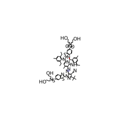 CCc1cc(C)cc(CC)c1Nc1nc(N(c2nc3ccc(S(=O)(=O)N(CCO)CCO)cc3s2)c2c(CC)cc(C)cc2CC)cc(C)c1/N=N/c1c(C#N)c(C(C)(C)C)nn1-c1nc2ccc(SN(CCO)CCO)cc2s1